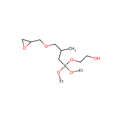 CCO[Si](CC(C)COCC1CO1)(OCC)OCCO